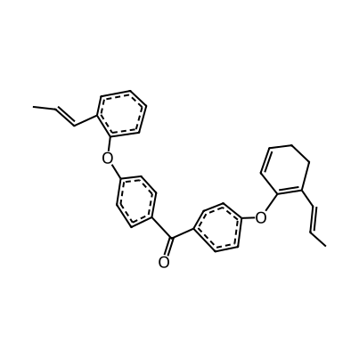 C/C=C/C1=C(Oc2ccc(C(=O)c3ccc(Oc4ccccc4/C=C/C)cc3)cc2)C=CCC1